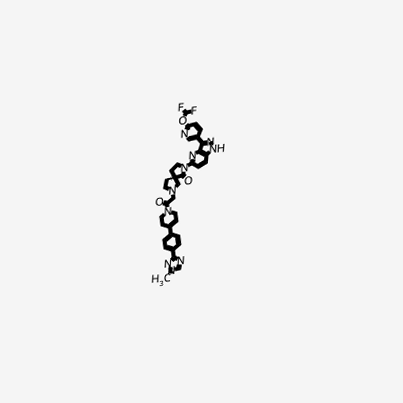 Cn1cnc(-c2ccc(C3=CCN(C(=O)CN4CC[C@]5(CCN(c6ccc7[nH]nc(-c8ccc(OC(F)F)nc8)c7n6)C5=O)C4)CC3)cc2)n1